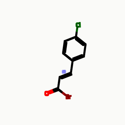 O=C(Br)/C=C/c1ccc(Cl)cc1